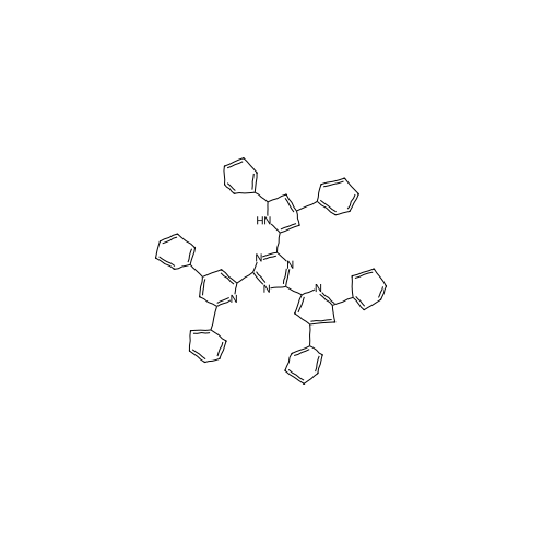 C1=C(c2ccccc2)C=C(c2nc(-c3cc(-c4ccccc4)cc(-c4ccccc4)n3)nc(-c3cc(-c4ccccc4)cc(-c4ccccc4)n3)n2)NC1c1ccccc1